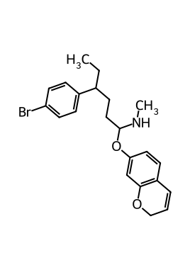 CCC(CCC(NC)Oc1ccc2c(c1)OCC=C2)c1ccc(Br)cc1